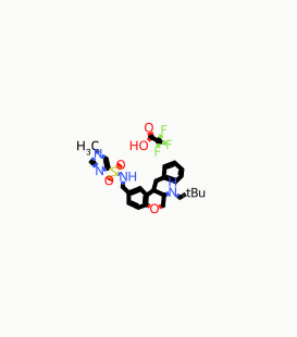 Cn1cnc(S(=O)(=O)NCc2ccc3c(c2)C(Cc2ccccc2)C(NCC(C)(C)C)CO3)c1.O=C(O)C(F)(F)F